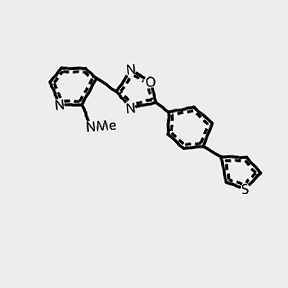 CNc1ncccc1-c1noc(-c2ccc(-c3ccsc3)cc2)n1